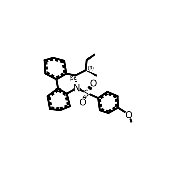 CC[C@@H](C)[C@H]1c2ccccc2-c2ccccc2N1S(=O)(=O)c1ccc(OC)cc1